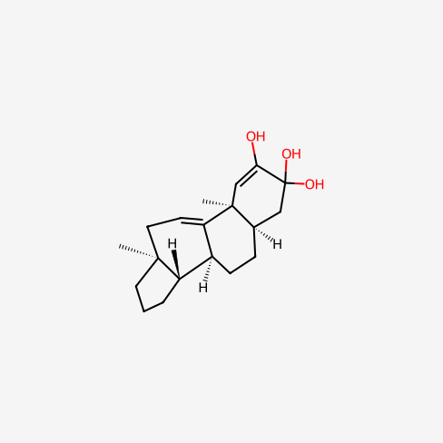 C[C@]12CC=C3[C@@H](CC[C@@H]4CC(O)(O)C(O)=C[C@]34C)[C@@H]1CCC2